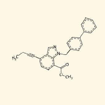 CCC#Cc1ccc(C(=O)OC)c2c1cnn2Cc1ccc(-c2ccccc2)cc1